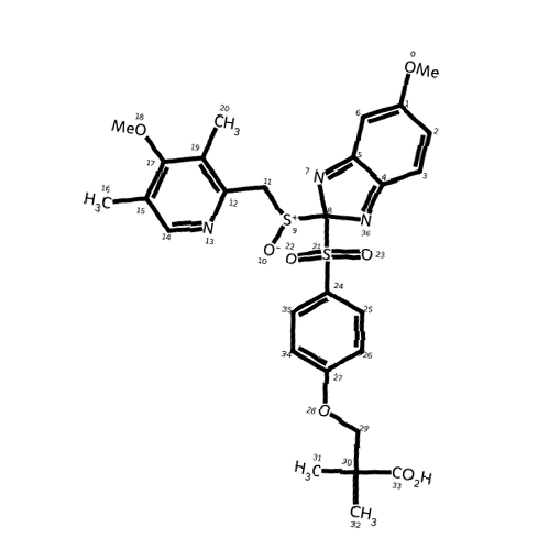 COc1ccc2c(c1)=NC([S+]([O-])Cc1ncc(C)c(OC)c1C)(S(=O)(=O)c1ccc(OCC(C)(C)C(=O)O)cc1)N=2